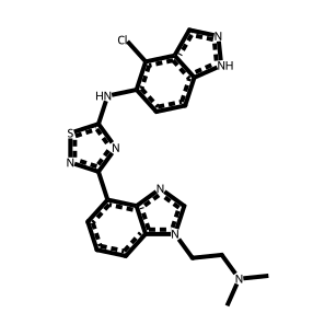 CN(C)CCn1cnc2c(-c3nsc(Nc4ccc5[nH]ncc5c4Cl)n3)cccc21